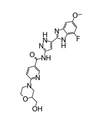 COc1cc(F)c2[nH]c(-c3cc(NC(=O)c4ccc(N5CCOC(CO)C5)nc4)n[nH]3)nc2c1